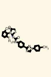 Cc1ccc(-n2cnc(-c3ccc(NC(=O)/N=C4\SCC(=O)N4c4c(C)cccc4C)cc3)n2)cc1